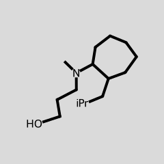 CC(C)CC1CCCCCC1N(C)CCCO